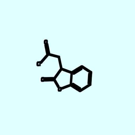 O=C(Cl)CC1C(=O)Oc2ccccc21